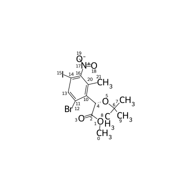 COC(=O)[C@@H](OC(C)(C)C)c1c(Br)cc(I)c([N+](=O)[O-])c1C